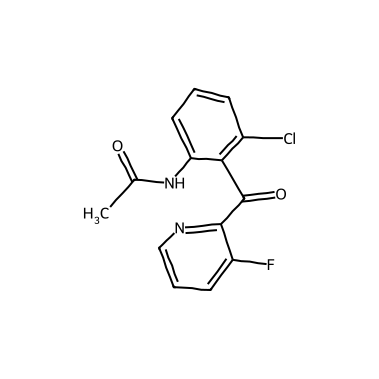 CC(=O)Nc1cccc(Cl)c1C(=O)c1ncccc1F